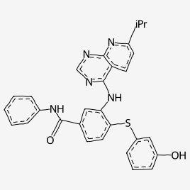 CC(C)c1ccc2c(Nc3cc(C(=O)Nc4ccccc4)ccc3Sc3cccc(O)c3)ncnc2n1